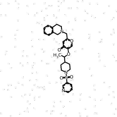 CC(Oc1coc(CN2CCc3ccccc3C2)cc1=O)C1CCN(S(=O)(=O)c2cccnc2)CC1